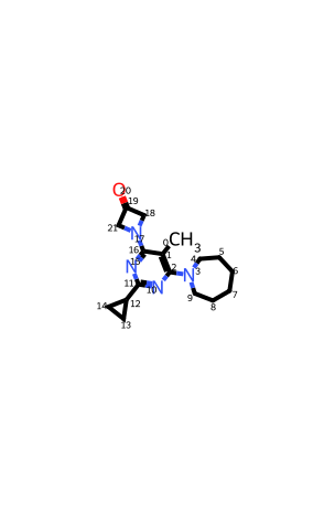 Cc1c(N2CCCCCC2)nc(C2CC2)nc1N1CC(=O)C1